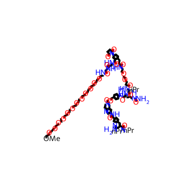 CCCN(CCC)C(=O)C1=Cc2ccc(C(=O)Nc3cnc4c(c3)CN(C(=O)OCc3ccc(NC(=O)[C@H](CCCNC(N)=O)NC(=O)[C@@H](NC(=O)CCOCCOCCNC(=O)CCc5ccc(N6C(=O)C=CC6=O)cc5C(=O)NCC(=O)NCC(=O)NCCOCCOCCOCCOCCOCCOCCOCCOCCOCCOCCOCCOCCOC)C(C)C)cc3)CC4)cc2N=C(N)C1